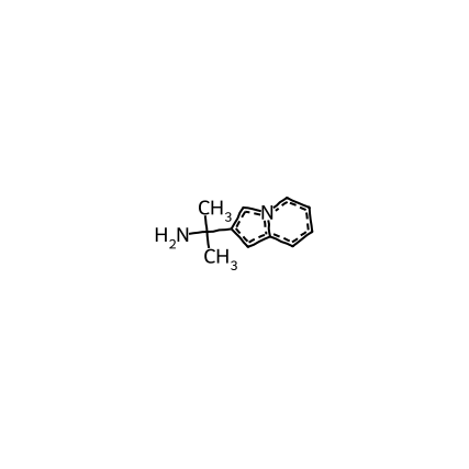 CC(C)(N)c1cc2ccccn2c1